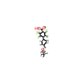 CC(C)(C)[Si](C)(C)OCc1ccc(-c2c(F)c(F)c(C(=O)O)c(F)c2F)cc1